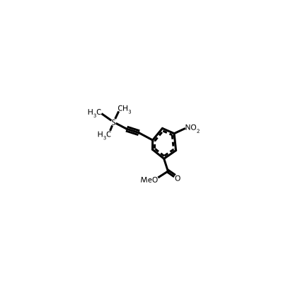 COC(=O)c1cc(C#CS(C)(C)C)cc([N+](=O)[O-])c1